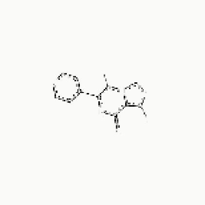 Cc1ncn2c(C)c(-c3ccncc3)[nH]c(=O)c12